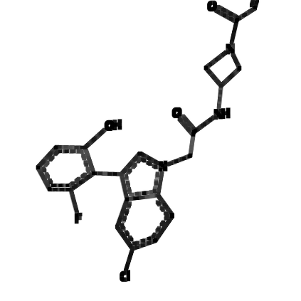 C=CC(=O)N1CC(NC(=O)Cn2cc(-c3c(O)cccc3F)c3cc(Cl)ccc32)C1